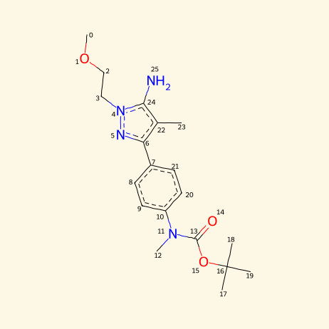 COCCn1nc(-c2ccc(N(C)C(=O)OC(C)(C)C)cc2)c(C)c1N